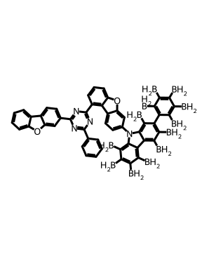 Bc1c(B)c(B)c(-c2c(B)c(B)c3c4c(B)c(B)c(B)c(B)c4n(-c4ccc5c(c4)oc4cccc(-c6nc(-c7ccccc7)nc(-c7ccc8c(c7)oc7ccccc78)n6)c45)c3c2B)c(B)c1B